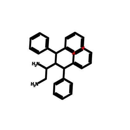 NCC(N)C(C(c1ccccc1)c1ccccc1)C(c1ccccc1)c1ccccc1